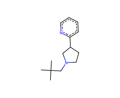 CC(C)(C)CN1CCC(c2ccccn2)C1